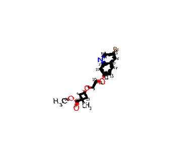 COC(=O)C1(C)CC(OCCOc2ccc3cc(Br)cnc3c2)C1